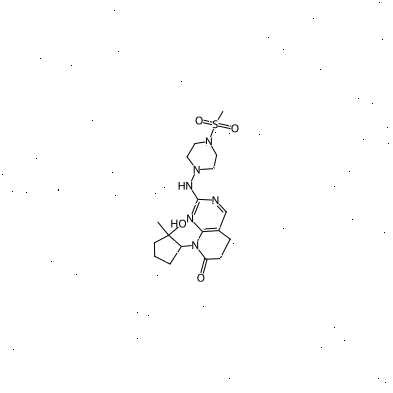 CC1(O)CCCC1N1C(=O)CCc2cnc(NN3CCN(S(C)(=O)=O)CC3)nc21